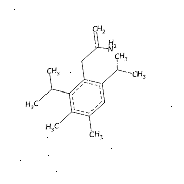 C=C(N)Cc1c(C(C)C)cc(C)c(C)c1C(C)C